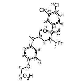 CCCN(CC(C)Sc1ccc(OCC(=O)O)c(C)c1)S(=O)(=O)c1ccc(Cl)c(Cl)c1